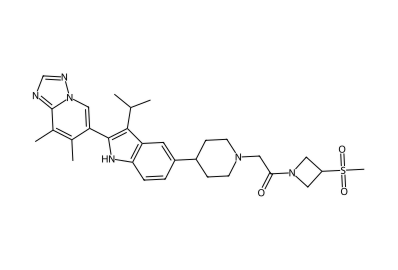 Cc1c(-c2[nH]c3ccc(C4CCN(CC(=O)N5CC(S(C)(=O)=O)C5)CC4)cc3c2C(C)C)cn2ncnc2c1C